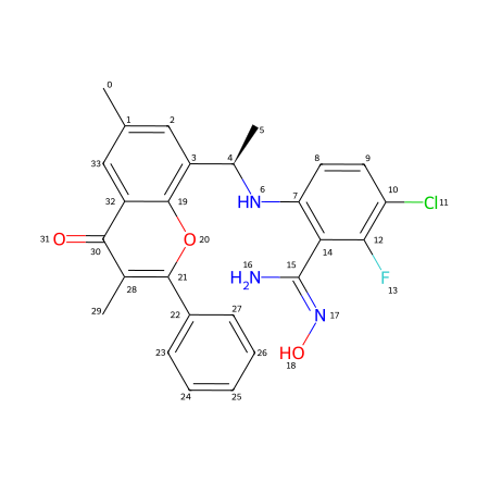 Cc1cc([C@@H](C)Nc2ccc(Cl)c(F)c2/C(N)=N/O)c2oc(-c3ccccc3)c(C)c(=O)c2c1